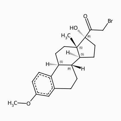 COc1ccc2c(c1)CC[C@@H]1[C@@H]2CC[C@@]2(C)[C@H]1CC[C@]2(O)C(=O)CBr